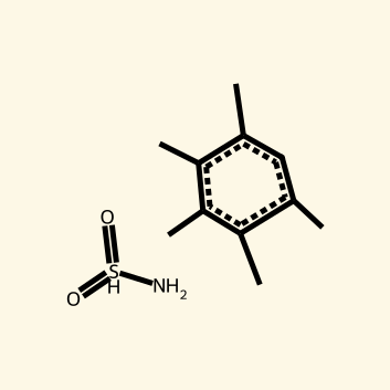 Cc1cc(C)c(C)c(C)c1C.N[SH](=O)=O